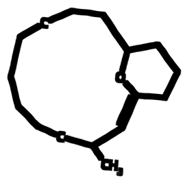 CC1C=C2CCCC(CCCCCCCC1)O2